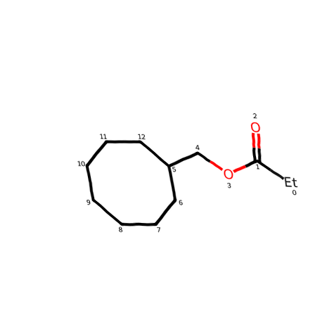 [CH2]CC(=O)OCC1CCCCCCC1